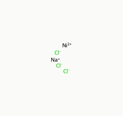 [Cl-].[Cl-].[Cl-].[Na+].[Ni+2]